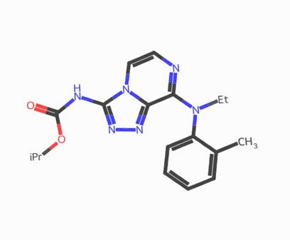 CCN(c1ccccc1C)c1nccn2c(NC(=O)OC(C)C)nnc12